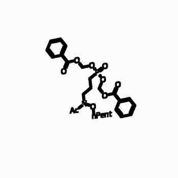 CCCCCON(CCCP(=O)(OCOC(=O)c1ccccc1)OCOC(=O)c1ccccc1)C(C)=O